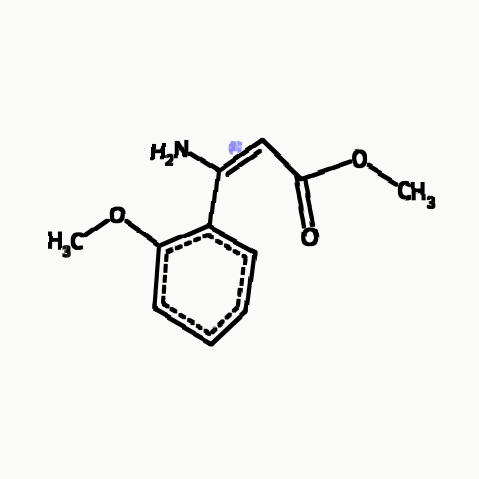 COC(=O)/C=C(/N)c1ccccc1OC